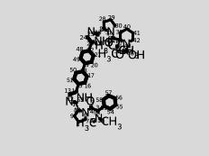 CN(C)[C@@H](C(=O)N1CCC[C@H]1c1ncc(-c2ccc(-c3ccc(-c4cnc([C@@H]5CCCN5C(=O)[C@]5(C(C)(C)C)CCCCN5C(=O)O)[nH]4)cc3)cc2)[nH]1)c1ccccc1